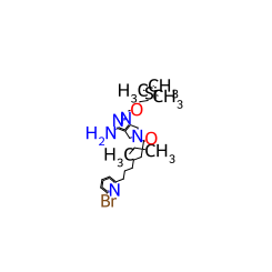 CCC(C)(CCCCCc1cccc(Br)n1)C(=O)N1Cc2c(N)nn(COCC[Si](C)(C)C)c2C1